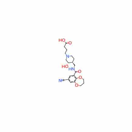 N#Cc1cc2c(c(C(=O)NC[C@@H]3CCN(CCCC(=O)O)C[C@H]3O)c1)OCCCO2